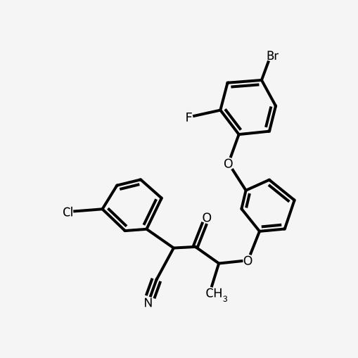 CC(Oc1cccc(Oc2ccc(Br)cc2F)c1)C(=O)C(C#N)c1cccc(Cl)c1